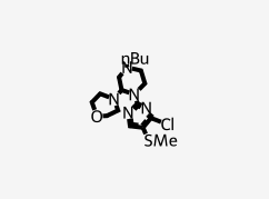 CCCCN1CCN(c2ncc(SC)c(Cl)n2)C(N2CCOCC2)C1